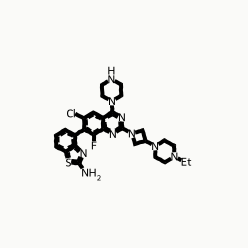 CCN1CCN(C2CN(c3nc(N4CCNCC4)c4cc(Cl)c(-c5cccc6sc(N)nc56)c(F)c4n3)C2)CC1